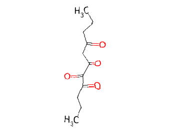 CCCC(=O)CC(=O)C(=O)C(=O)CCC